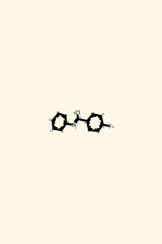 Fc1ccc(/C(Cl)=N/c2ccccc2)cc1